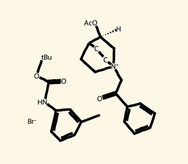 CC(=O)O[C@H]1C[N+]2(CC(=O)c3ccccc3)CCC1CC2.Cc1cccc(NC(=O)OC(C)(C)C)c1.[Br-]